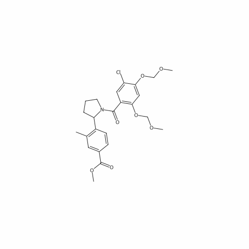 COCOc1cc(OCOC)c(C(=O)N2CCCC2c2ccc(C(=O)OC)cc2C)cc1Cl